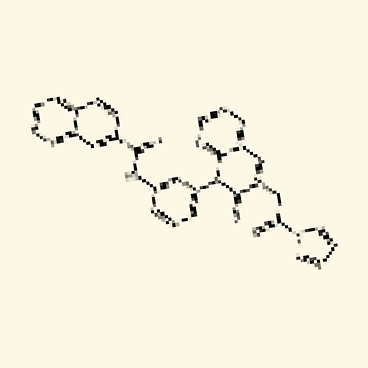 O=C(Nc1cccc(-n2c(=O)c(CC(=O)n3ccnc3)nc3cccnc32)c1)c1ccc2ccccc2c1